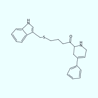 O=C(CCCSCc1c[nH]c2ccccc12)C1CC(c2ccccc2)=CCN1